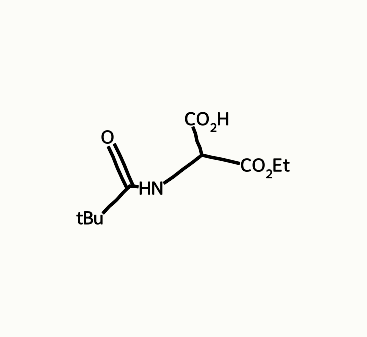 CCOC(=O)C(NC(=O)C(C)(C)C)C(=O)O